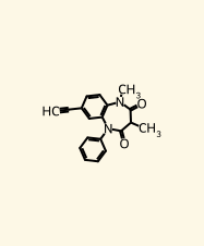 C#Cc1ccc2c(c1)N(c1ccccc1)C(=O)C(C)C(=O)N2C